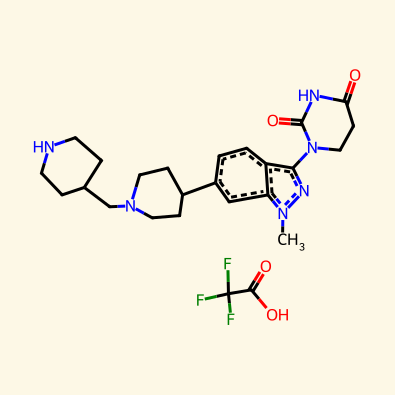 Cn1nc(N2CCC(=O)NC2=O)c2ccc(C3CCN(CC4CCNCC4)CC3)cc21.O=C(O)C(F)(F)F